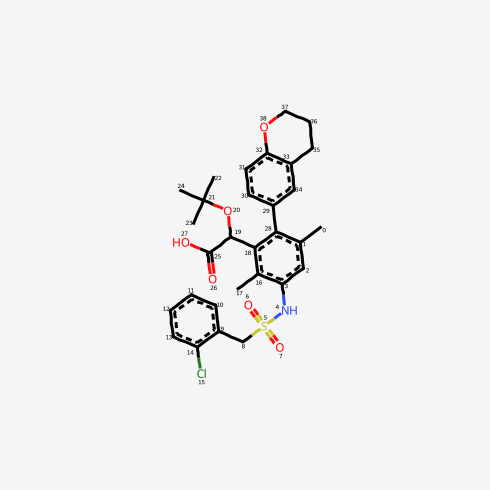 Cc1cc(NS(=O)(=O)Cc2ccccc2Cl)c(C)c(C(OC(C)(C)C)C(=O)O)c1-c1ccc2c(c1)CCCO2